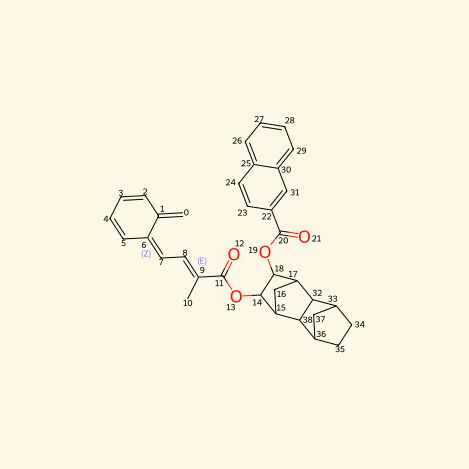 C=c1cccc/c1=C/C=C(\C)C(=O)OC1C2CC(C1OC(=O)c1ccc3ccccc3c1)C1C3CCC(C3)C21